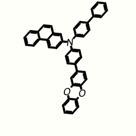 c1ccc(-c2ccc(N(c3ccc(-c4ccc5c(c4)Oc4ccccc4O5)cc3)c3ccc4c(ccc5ccccc54)c3)cc2)cc1